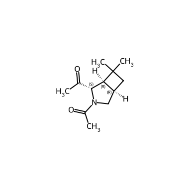 CC(=O)[C@@H]1[C@@H]2[C@H](CN1C(C)=O)CC2(C)C